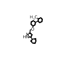 Cc1ccccc1-c1cccc(OCc2cc(-c3ccccc3)[nH]n2)c1